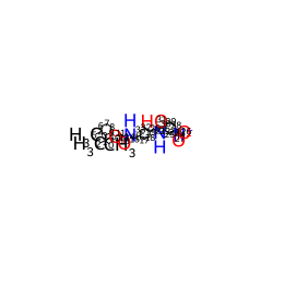 CC(C)C1C(C)CCCC1OCC(=O)NCc1ccc(CNc2cc([N+](=O)[O-])ccc2O)cc1